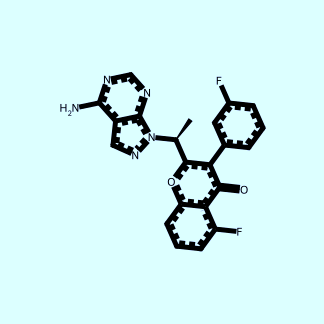 C[C@@H](c1oc2cccc(F)c2c(=O)c1-c1cccc(F)c1)n1ncc2c(N)ncnc21